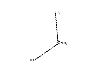 [CH2]CCc1nc(CCCCCCCCCCCCCCCCCCCCCCCCCCCC)nc(CCCCCCCCCCCCCCCCCCCCCCCCCCCC)n1